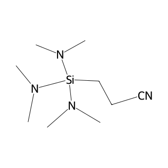 CN(C)[Si](CCC#N)(N(C)C)N(C)C